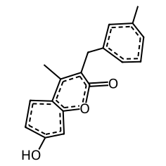 Cc1cccc(Cc2c(C)c3ccc(O)cc3oc2=O)c1